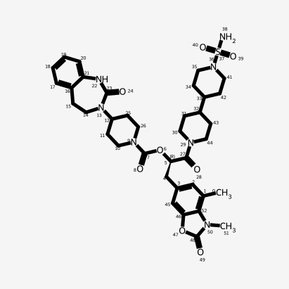 Cc1cc(C[C@@H](OC(=O)N2CCC(N3CCc4ccccc4NC3=O)CC2)C(=O)N2CCC(C3CCN(S(N)(=O)=O)CC3)CC2)cc2oc(=O)n(C)c12